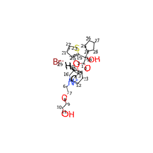 O=C(O[C@H]1C[N+]2(CCOCCO)CCC1CC2)[C@](O)(c1cccs1)C1CCCC1.[Br-]